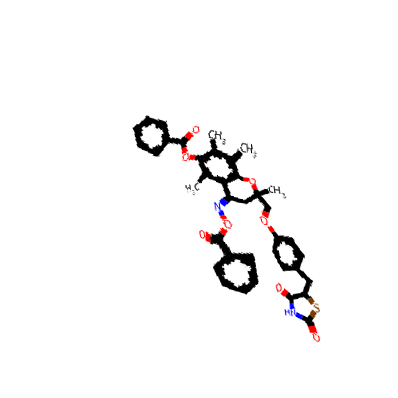 Cc1c(C)c2c(c(C)c1OC(=O)c1ccccc1)/C(=N/OC(=O)c1ccccc1)CC(C)(COc1ccc(CC3SC(=O)NC3=O)cc1)O2